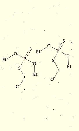 CCOP(=S)(OCC)SCCl.CCOP(=S)(OCC)SCCl